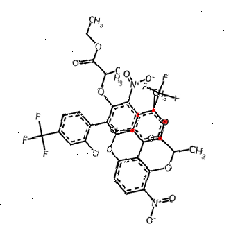 CCOC(=O)C(C)Oc1c([N+](=O)[O-])ccc(Oc2ccc([N+](=O)[O-])c(OC(C)C(=O)OCC)c2-c2ccc(C(F)(F)F)cc2Cl)c1-c1ccc(C(F)(F)F)cc1Cl